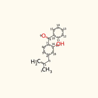 C=C(C)Cc1ccc(C(=O)c2ccccc2)c(O)c1